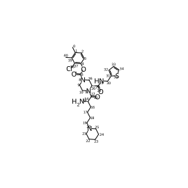 Cc1ccc(OC(=O)N2CCN(C(=O)[C@H](N)CCCCN3CCCCC3)[C@H](C(=O)NCc3cccs3)C2)c(Cl)c1C